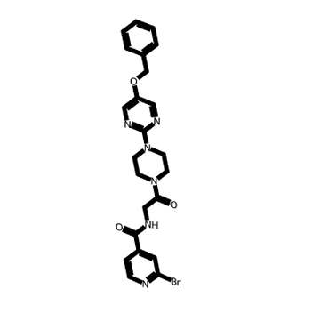 O=C(NCC(=O)N1CCN(c2ncc(OCc3ccccc3)cn2)CC1)c1ccnc(Br)c1